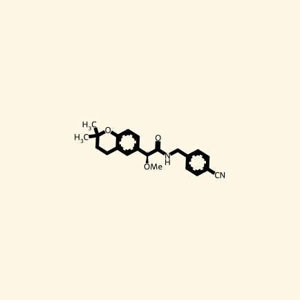 CO[C@H](C(=O)NCc1ccc(C#N)cc1)c1ccc2c(c1)CCC(C)(C)O2